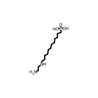 NCCNCCCCCCCCCCCCP(=O)(O)O